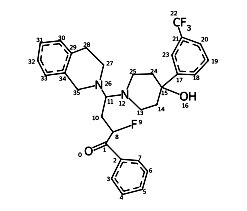 O=C(c1ccccc1)C(F)CC(N1CCC(O)(c2cccc(C(F)(F)F)c2)CC1)N1CCc2ccccc2C1